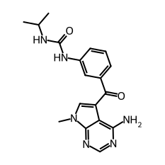 CC(C)NC(=O)Nc1cccc(C(=O)c2cn(C)c3ncnc(N)c23)c1